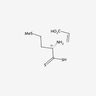 C=CC(=O)O.CSCC[C@H](N)C(=S)S